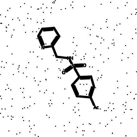 CC(=O)c1ccc(S(=O)(=O)NCc2ccccn2)cc1